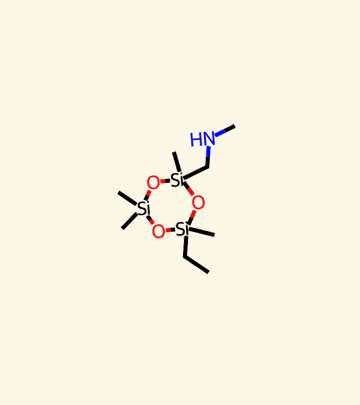 CC[Si]1(C)O[Si](C)(C)O[Si](C)(CNC)O1